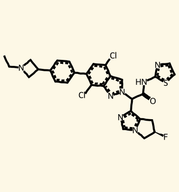 CCN1CC(c2ccc(-c3cc(Cl)c4cn(C(C(=O)Nc5nccs5)c5ncn6c5C[C@@H](F)C6)nc4c3Cl)cc2)C1